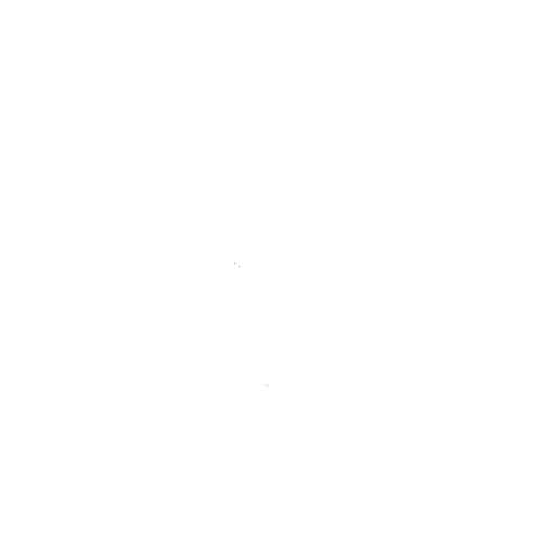 CCCCCCCC/C=C\CCCCCCCCOP(=O)(O)O.N